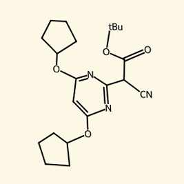 CC(C)(C)OC(=O)C(C#N)c1nc(OC2CCCC2)cc(OC2CCCC2)n1